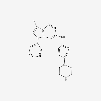 Cc1cn(-c2cccnc2)c2nc(Nc3ccc(N4CCNCC4)cn3)ncc12